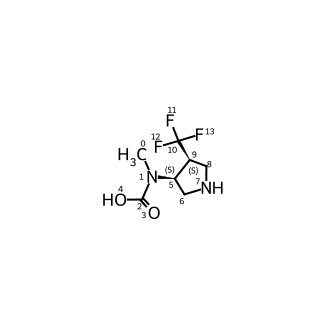 CN(C(=O)O)[C@@H]1CNC[C@@H]1C(F)(F)F